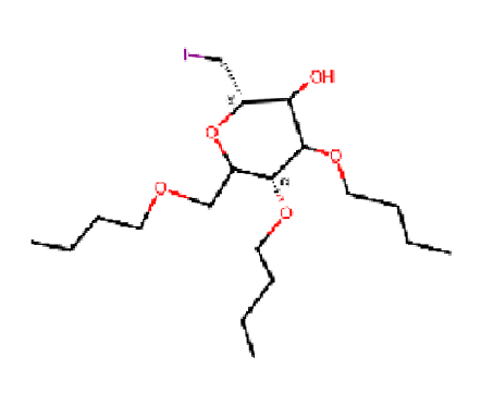 CCCCOCC1O[C@H](CI)C(O)C(OCCCC)[C@@H]1OCCCC